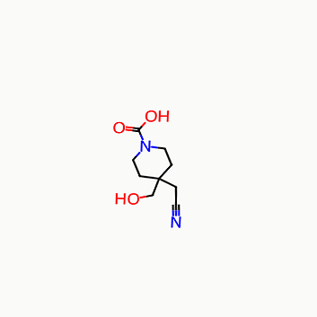 N#CCC1(CO)CCN(C(=O)O)CC1